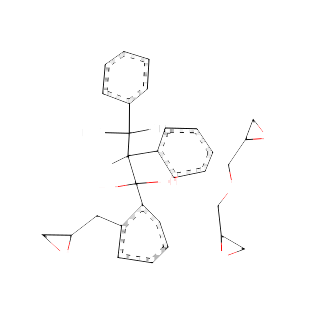 C(OCC1CO1)C1CO1.CC(C)(c1ccccc1)C(C)(c1ccccc1)C(O)(O)c1ccccc1CC1CO1